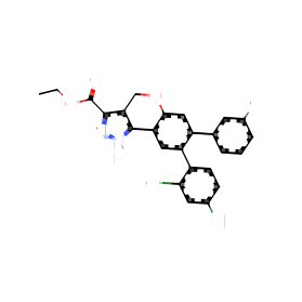 CCOC(=O)c1n[nH]c2c1COc1cc(-c3cccc(Cl)c3)c(-c3ccc(Cl)cc3Cl)cc1-2